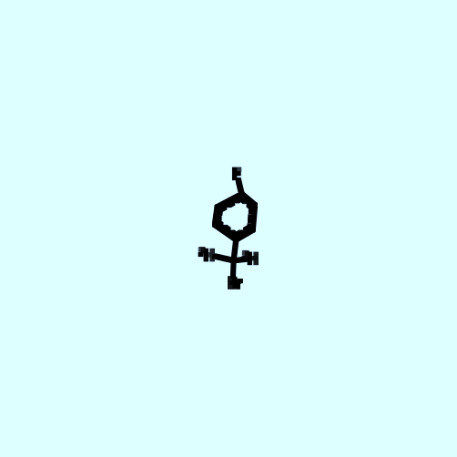 [2H]C([2H])(Br)c1ccc(F)cc1